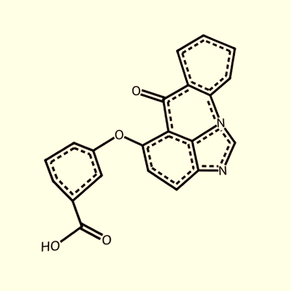 O=C(O)c1cccc(Oc2ccc3ncn4c5ccccc5c(=O)c2c34)c1